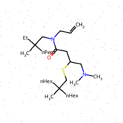 C=CCN(CC(C)(CC)CCCCC)C(=O)CC(CN(C)C)SCC(C)(CCCCCC)CCCCCC